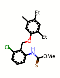 CCc1cc(CC)c(OCc2c(Cl)cccc2NC(=S)OC)cc1C